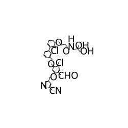 CC1(Cl)C(c2cccc(COc3cc(OCc4cncc(C#N)c4)c(C=O)cc3Cl)c2)=CC=CC1OCCC(=O)NCC(O)CO